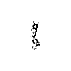 O=C(CNCc1cc(F)c(F)cc1F)N1CCn2c(nnc2C(F)(F)F)C1